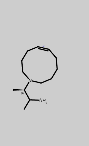 CC(N)[C@@H](C)N1CCC/C=C\CCCC1